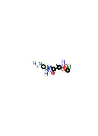 COc1cc(-c2ccc(NS(=O)(=O)c3ccccc3Cl)cc2C)cc2cnc(N[C@H]3CC[C@H](N)CC3)nc12